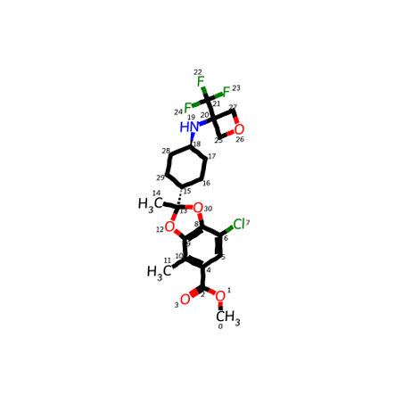 COC(=O)c1cc(Cl)c2c(c1C)OC(C)([C@H]1CC[C@H](NC3(C(F)(F)F)COC3)CC1)O2